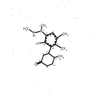 CPN(C)c1cc(C)c(C(F)(F)F)c(C2CC(=O)CCC2C)c1F